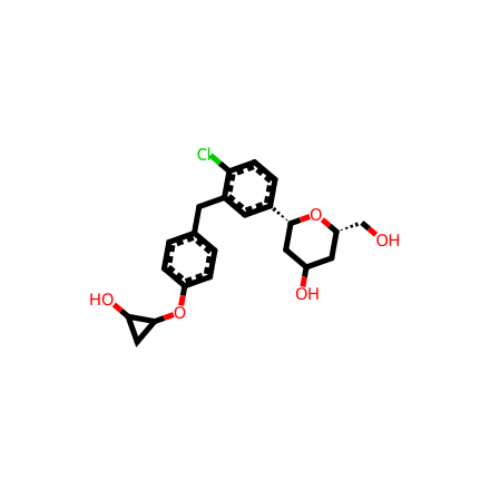 OC[C@@H]1CC(O)C[C@H](c2ccc(Cl)c(Cc3ccc(OC4CC4O)cc3)c2)O1